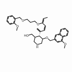 C=C(/C=C\C(=C/C)OCCCOCc1ccccc1OC)[C@H]1C(CO)CNCC1OCc1cc(OC)c2ccccc2c1